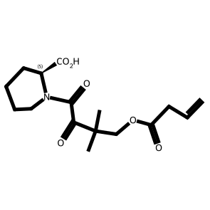 C=CCC(=O)OCC(C)(C)C(=O)C(=O)N1CCCC[C@H]1C(=O)O